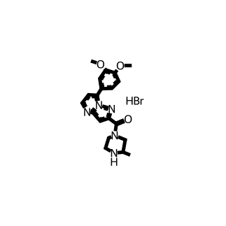 Br.COc1ccc(-c2ccnc3cc(C(=O)N4CCNC(C)C4)nn23)cc1OC